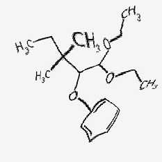 CCOC(OCC)C(Oc1ccccc1)C(C)(C)CC